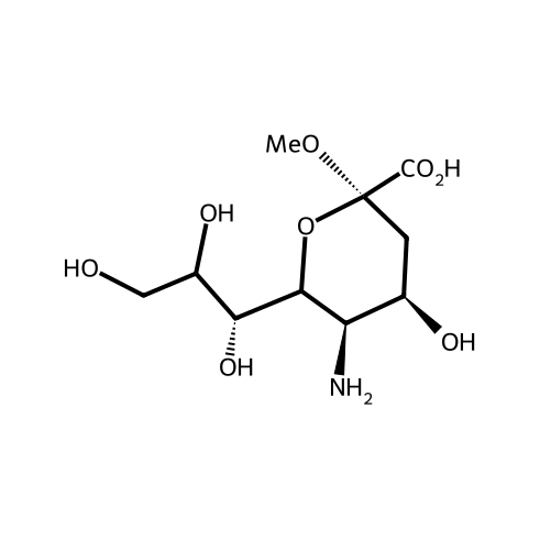 CO[C@]1(C(=O)O)C[C@@H](O)[C@@H](N)C([C@H](O)C(O)CO)O1